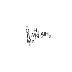 [AlH3].[MgH2].[O]=[Mn]